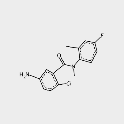 Cc1cc(F)ccc1N(C)C(=O)c1cc(N)ccc1Cl